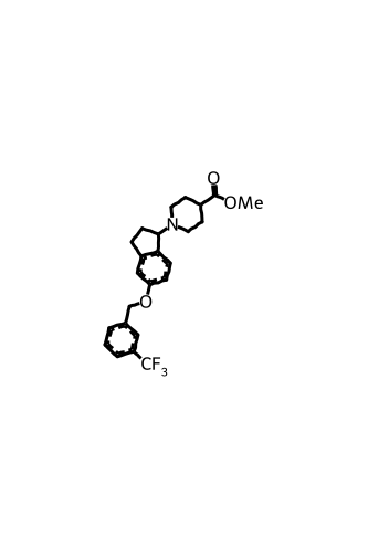 COC(=O)C1CCN(C2CCc3cc(OCc4cccc(C(F)(F)F)c4)ccc32)CC1